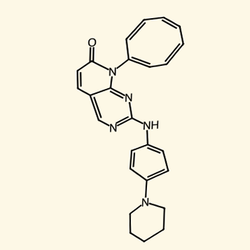 O=c1ccc2cnc(Nc3ccc(N4CCCCC4)cc3)nc2n1C1=CC=CC=CC=C1